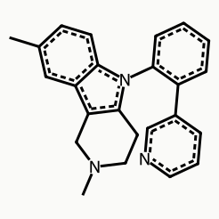 Cc1ccc2c(c1)c1c(n2-c2ccccc2-c2cccnc2)CCN(C)C1